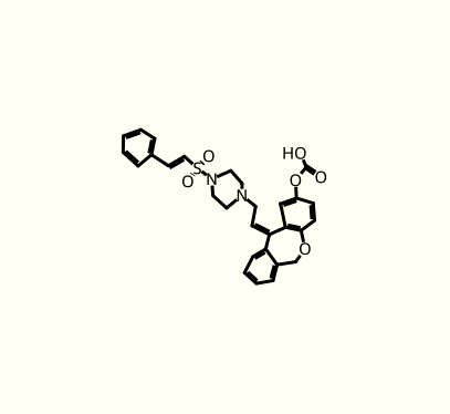 O=C(O)Oc1ccc2c(c1)C(=CCN1CCN(S(=O)(=O)C=Cc3ccccc3)CC1)c1ccccc1CO2